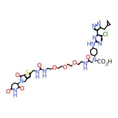 Cn1ncc(-c2nc(NC3CCC(N(CC(=O)NCCOCCOCCOCCNC(=O)NCc4cc5c(s4)C(=O)N(C4CCC(=O)NC4=O)C5)C(=O)O)CC3)ncc2Cl)c1CC1CC1